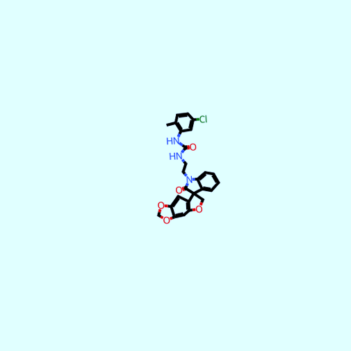 Cc1ccc(Cl)cc1NC(=O)NCCN1C(=O)C2(COc3cc4c(cc32)OCO4)c2ccccc21